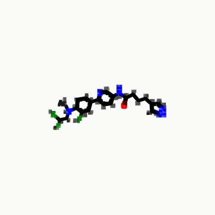 CC(=O)N(CC(F)F)c1ccc(-c2ccc(NC(=O)CCCc3cn[nH]c3)cn2)cc1F